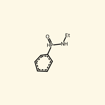 CCN[PH](=O)c1ccccc1